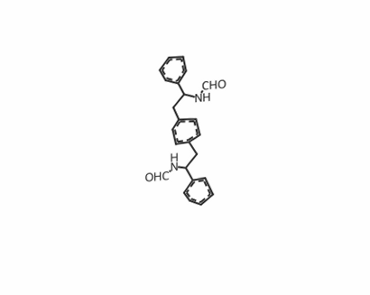 O=CNC(Cc1ccc(CC(NC=O)c2ccccc2)cc1)c1ccccc1